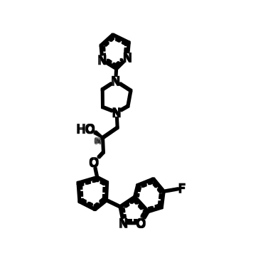 O[C@H](COc1cccc(-c2noc3cc(F)ccc23)c1)CN1CCN(c2ncccn2)CC1